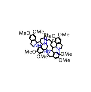 CCC(CCC(CC)CC(C1NCCc2cc(OC)c(OC)cc21)C1NCCc2cc(OC)c(OC)cc21)CC(C1NCCc2cc(OC)c(OC)cc21)C1NCCc2cc(OC)c(OC)cc21